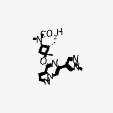 C[C@H]1[C@H](N(C)C(=O)O)C[C@@]1(C)Oc1nc(-c2cnn(C)c2)cn2nccc12